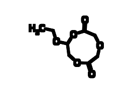 CCOC1COC(=O)COCC(=O)O1